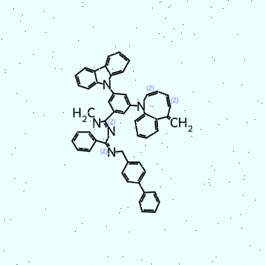 C=N/C(=N\C(=N/Cc1ccc(-c2ccccc2)cc1)c1ccccc1)c1cc(N2/C=C\C=C/C(=C)c3ccccc32)cc(-n2c3ccccc3c3ccccc32)c1